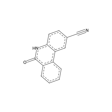 N#Cc1ccc2[nH]c(=O)c3ccccc3c2c1